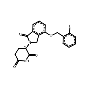 O=C1CC[C@@H](N2Cc3c(OCc4ccccc4F)cccc3C2=O)C(=O)N1